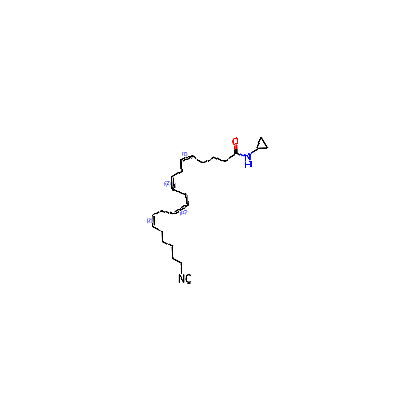 [C-]#[N+]CCCCC/C=C\C/C=C\C/C=C\C/C=C\CCCC(=O)NC1CC1